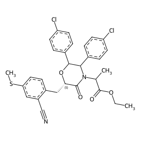 CCOC(=O)C(C)N1C(=O)[C@H](Cc2ccc(SC)cc2C#N)OC(c2ccc(Cl)cc2)C1c1ccc(Cl)cc1